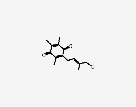 CC1=C(C)C(=O)C(C/C=C(\C)CCl)=C(C)C1=O